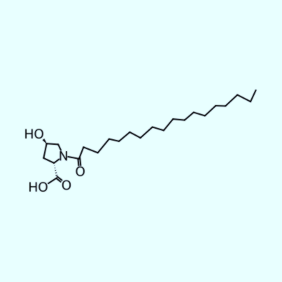 CCCCCCCCCCCCCCCCCC(=O)N1C[C@H](O)C[C@H]1C(=O)O